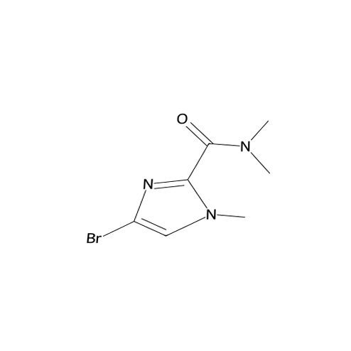 CN(C)C(=O)c1nc(Br)cn1C